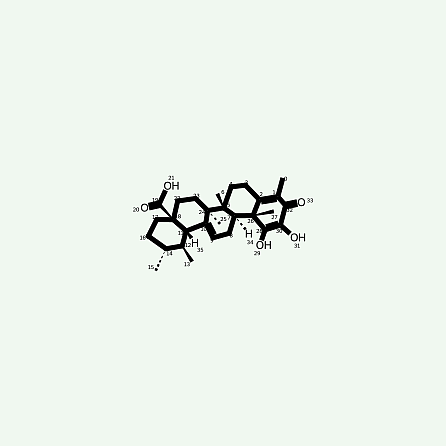 CC1=C2CC[C@]3(C)[C@H](CC=C4[C@@H]5[C@@H](C)[C@H](C)CC[C@]5(C(=O)O)CC[C@]43C)[C@@]2(C)C(O)=C(O)C1=O